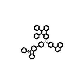 c1ccc(-c2c(-c3ccccc3)c3cc(N(c4ccc(-c5ccc6c(c5)c5ccccc5n6-c5ccccc5)cc4)c4ccc(-c5cccc6ccccc56)cc4)ccc3c3ccccc23)cc1